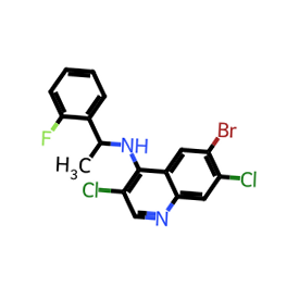 CC(Nc1c(Cl)cnc2cc(Cl)c(Br)cc12)c1ccccc1F